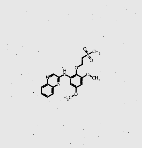 COc1cc(Nc2[c]nc3ccccc3n2)c(OCCS(C)(=O)=O)c(OC)c1